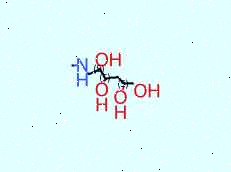 CNC[C@H](O)[C@@H](O)C[C@H](O)CO